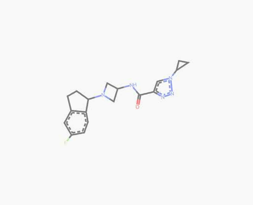 O=C(NC1CN(C2CCc3cc(F)ccc32)C1)c1cn(C2CC2)nn1